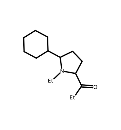 CCC(=O)C1CCC(C2CCCCC2)N1CC